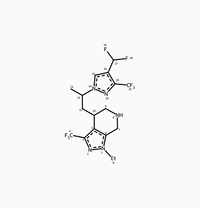 CCn1nc(C(F)(F)F)c2c1CNCC2CC(C)n1cc(C(F)F)c(C(F)(F)F)n1